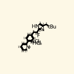 CC(C)(C)Cc1c[nH]c(C(F)Cc2ccc(-c3ccccn3)cc2)n1.Cl.Cl